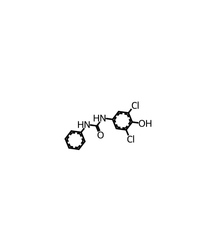 O=C(Nc1ccccc1)Nc1cc(Cl)c(O)c(Cl)c1